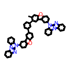 Cc1cc2oc3ccc(-n4c5ccccc5n5c6ccccc6nc45)cc3c2cc1-c1cccc(-c2ccc3oc4ccc(-n5c6ccccc6n6c7ccccc7nc56)cc4c3c2)c1